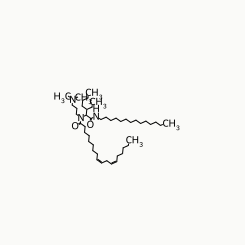 CCCCC/C=C\C/C=C\CCCCCCCC(=O)N(CCCN(C)C)C(C(=O)NCCCCCCCCCCCCCC)C(CC)CCCC